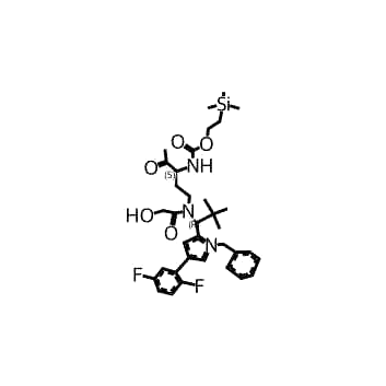 CC(=O)[C@H](CCN(C(=O)CO)[C@@H](c1cc(-c2cc(F)ccc2F)cn1Cc1ccccc1)C(C)(C)C)NC(=O)OCC[Si](C)(C)C